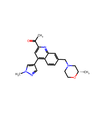 CC(=O)c1cc(-c2cnn(C)c2)c2ccc(CN3CCO[C@@H](C)C3)cc2n1